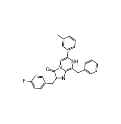 Cc1cccc(-c2cn3c(=O)c(Cc4ccc(F)cc4)nc-3c(Cc3ccccc3)[nH]2)c1